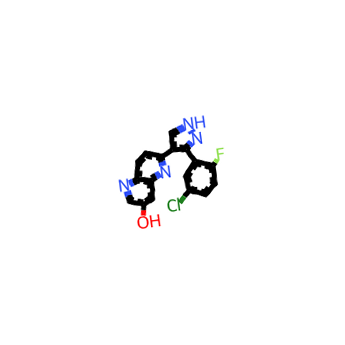 Oc1cnc2ccc(-c3c[nH]nc3-c3cc(Cl)ccc3F)nc2c1